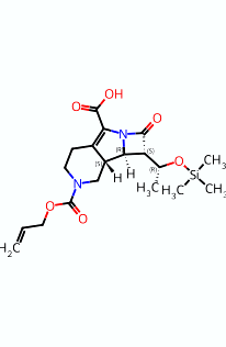 C=CCOC(=O)N1CCC2=C(C(=O)O)N3C(=O)[C@H]([C@@H](C)O[Si](C)(C)C)[C@H]3[C@@H]2C1